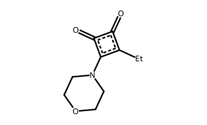 CCc1c(N2CCOCC2)c(=O)c1=O